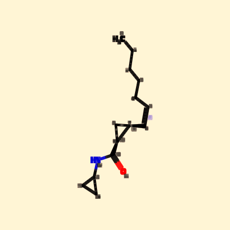 CCCCC/C=C\[C@@H]1C[C@@H]1C(=O)NC1CC1